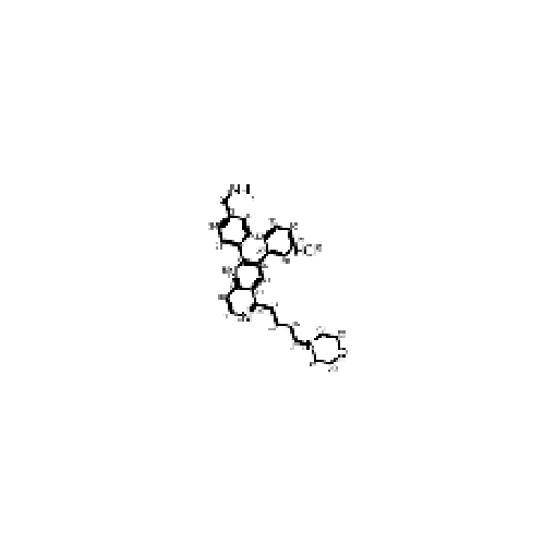 Cl.NCc1ccc(-c2nc3ccnc(CCCCN4CCOCC4)c3cc2-c2ccccc2)cc1